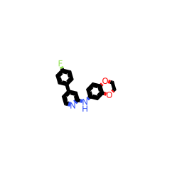 Fc1ccc(-c2ccnc(Nc3ccc4c(c3)OCCO4)c2)cc1